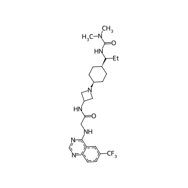 CCC(NC(=O)N(C)C)[C@H]1CC[C@@H](N2CC(NC(=O)CNc3ncnc4ccc(C(F)(F)F)cc34)C2)CC1